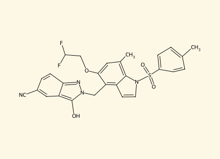 Cc1ccc(S(=O)(=O)n2ccc3c(Cn4nc5ccc(C#N)cc5c4O)c(OCC(F)F)cc(C)c32)cc1